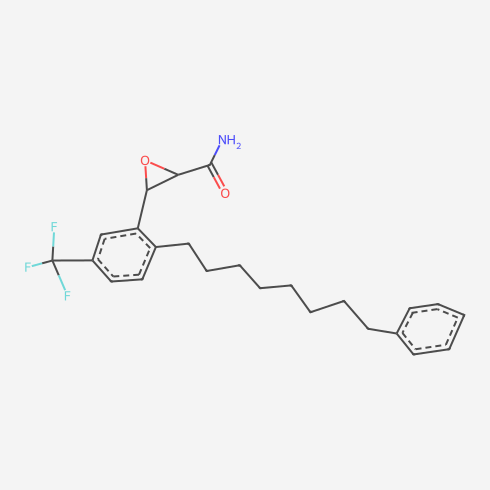 NC(=O)C1OC1c1cc(C(F)(F)F)ccc1CCCCCCCCc1ccccc1